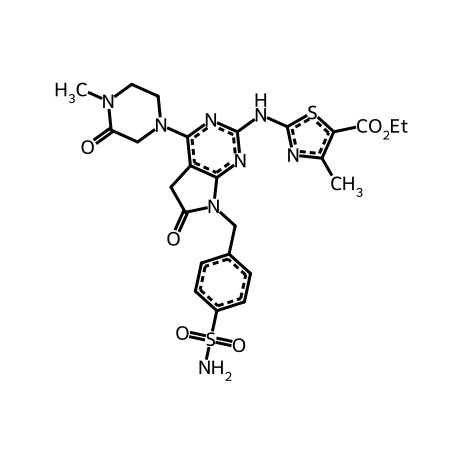 CCOC(=O)c1sc(Nc2nc(N3CCN(C)C(=O)C3)c3c(n2)N(Cc2ccc(S(N)(=O)=O)cc2)C(=O)C3)nc1C